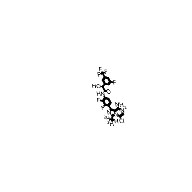 [2H]C([2H])([2H])c1nc(-c2ccc(NC(=O)[C@@H](O)c3cc(F)cc(C(F)(F)F)c3)c(F)c2F)c2c(N)ncc(Cl)n12